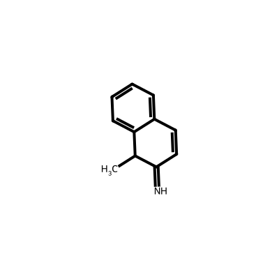 CC1C(=N)C=Cc2ccccc21